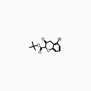 CC(C)(C)OC(=O)C1Oc2cccc(Br)c2CC1=O